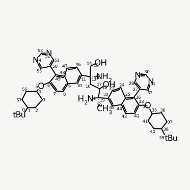 CC(C)(C)C1CCC(Oc2ccc3cc([C@@](N)(CO)CC(O)[C@](C)(N)c4ccc5c(-c6cncnc6)c(OC6CCC(C(C)(C)C)CC6)ccc5c4)ccc3c2-c2cncnc2)CC1